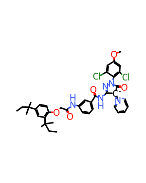 CCC(C)(C)c1ccc(OCC(=O)Nc2cccc(C(=O)Nc3nn(-c4c(Cl)cc(OC)cc4Cl)c(=O)[c-]3-[n+]3ccccc3)c2)c(C(C)(C)CC)c1